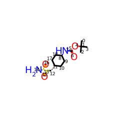 CC(C)(C)OC(=O)N[C@H]1CC[C@H](CS(N)(=O)=O)CC1